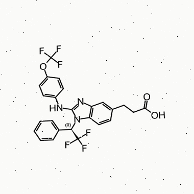 O=C(O)CCc1ccc2c(c1)nc(Nc1ccc(OC(F)(F)F)cc1)n2[C@H](c1ccccc1)C(F)(F)F